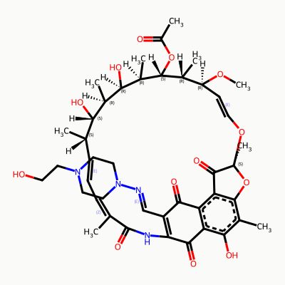 CO[C@H]1/C=C/O[C@@]2(C)Oc3c(C)c(O)c4c(c3C2=O)C(=O)C(/C=N/N2CCN(CCO)CC2)=C(NC(=O)/C(C)=C\C=C\[C@H](C)[C@H](O)[C@@H](C)[C@@H](O)[C@@H](C)[C@H](OC(C)=O)[C@@H]1C)C4=O